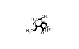 CCC(=O)C1C(=O)[NH+]([O-])C[C@H]1C(C)C